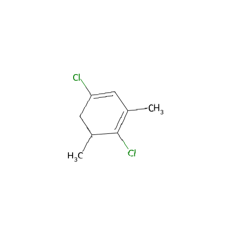 C[C]1CC(Cl)=CC(C)=C1Cl